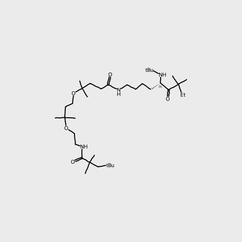 CCC(C)(C)C(=O)[C@H](CCCCNC(=O)CCC(C)(C)OCCC(C)(C)OCCNC(=O)C(C)(C)CC(C)(C)C)NC(C)(C)C